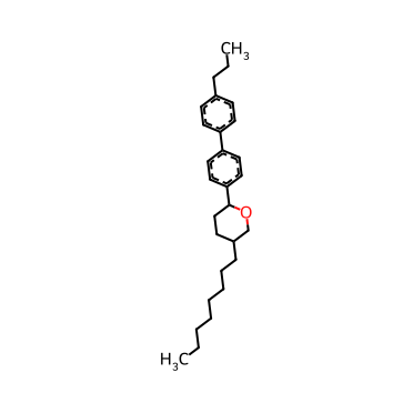 CCCCCCCCC1CCC(c2ccc(-c3ccc(CCC)cc3)cc2)OC1